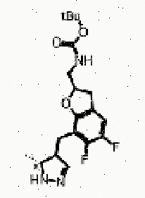 C[C@H]1NN=CC1Cc1c(F)c(F)cc2c1OC(CNC(=O)OC(C)(C)C)C2